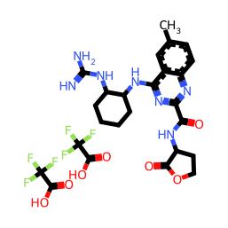 Cc1ccc2nc(C(=O)NC3CCOC3=O)nc(NC3CCCCC3NC(=N)N)c2c1.O=C(O)C(F)(F)F.O=C(O)C(F)(F)F